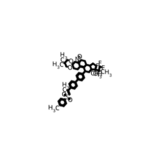 CC(=CS(=O)(=O)c1ccc(C)cc1)c1ccc(-c2ccc(C3CC4(C)C(CCC4(O)[C@@](C)(I)C(F)(F)F)C4CC[C@@]5(N=O)CC6(CCC5=C34)OCC(C)(C)CO6)cc2)cc1